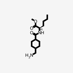 CCCC[C@@H](NC(=O)C1CCC(CN)CC1)C(=O)OC